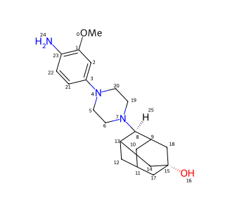 COc1cc(N2CCN([C@H]3C4CC5CC3C[C@](O)(C5)C4)CC2)ccc1N